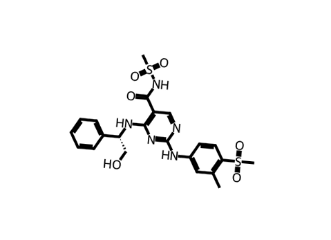 Cc1cc(Nc2ncc(C(=O)NS(C)(=O)=O)c(N[C@H](CO)c3ccccc3)n2)ccc1S(C)(=O)=O